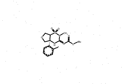 CN1/C(=N\C(=O)OC(C)(C)C)N[C@@]2(c3ccccc3F)COCC2S1(=O)=O